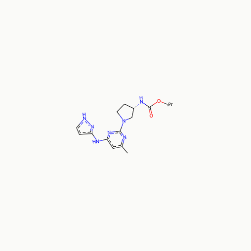 Cc1cc(Nc2cc[nH]n2)nc(N2CC[C@H](NC(=O)OC(C)C)C2)n1